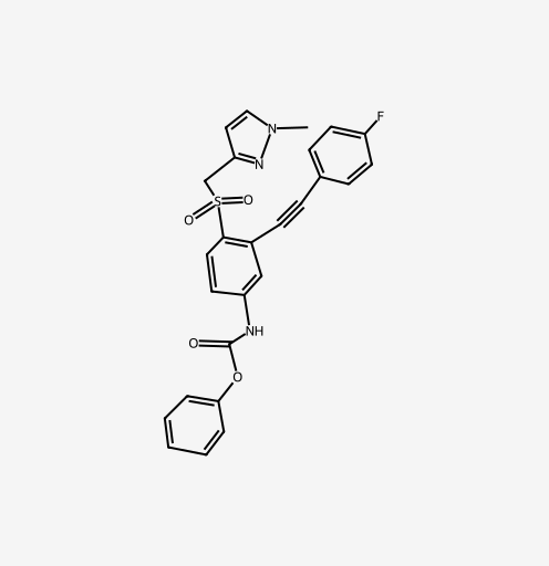 Cn1ccc(CS(=O)(=O)c2ccc(NC(=O)Oc3ccccc3)cc2C#Cc2ccc(F)cc2)n1